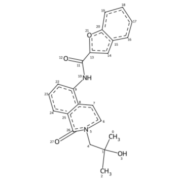 CC(C)(O)Cn1ccc2c(NC(=O)c3cc4ccccc4o3)cccc2c1=O